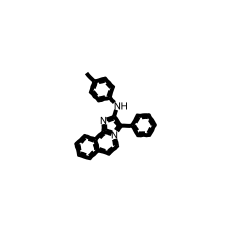 Cc1ccc(Nc2nc3c4ccccc4ccn3c2-c2ccccc2)cc1